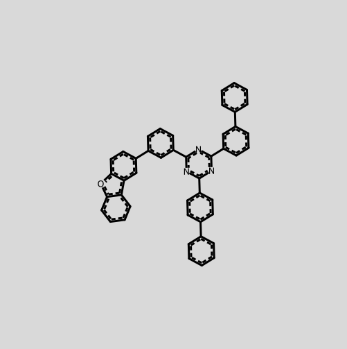 c1ccc(-c2ccc(-c3nc(-c4cccc(-c5ccccc5)c4)nc(-c4cccc(-c5ccc6oc7ccccc7c6c5)c4)n3)cc2)cc1